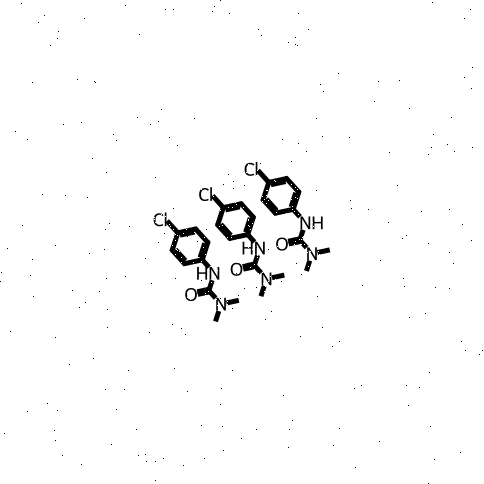 CN(C)C(=O)Nc1ccc(Cl)cc1.CN(C)C(=O)Nc1ccc(Cl)cc1.CN(C)C(=O)Nc1ccc(Cl)cc1